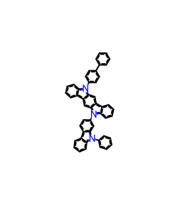 c1ccc(-c2ccc(-n3c4ccccc4c4cc5c(cc43)c3ccccc3n5-c3ccc4c5ccccc5n(-c5ccccc5)c4c3)cc2)cc1